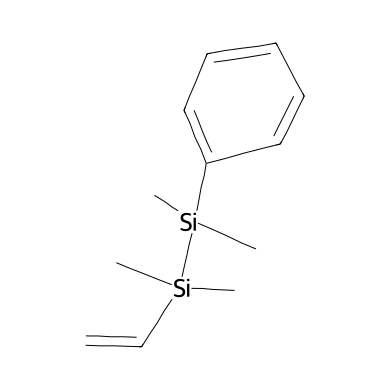 C=C[Si](C)(C)[Si](C)(C)c1ccccc1